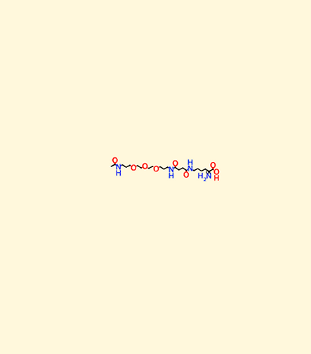 CC(=O)NCCCOCCOCCOCCCNC(=O)CCC(=O)NCCCC[C@H](N)C(=O)O